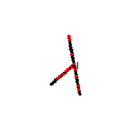 CCCCCCCCCCCCCCCCCCCCC[CH2][Al]([CH2]CCCCCCCCCCCCCCCCCCCCC)[CH2]CCCCCCCCCCCCCCCCCCCCC